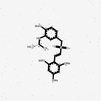 COc1cc(OC)c(/C=C/S(=O)(=O)Cc2ccc(OC)c(N[C@H](C)C(=O)O)c2)c(OC)c1